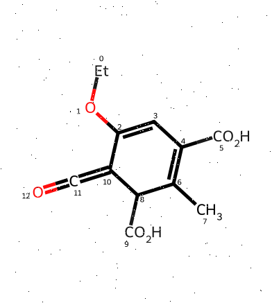 CCOC1=CC(C(=O)O)=C(C)C(C(=O)O)C1=C=O